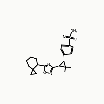 CC1(C)[C@@H](c2ccc(S(N)(=O)=O)cc2)[C@@H]1c1noc(C2CCCCC23CC3)n1